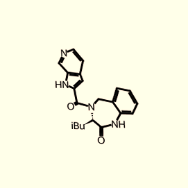 CC[C@H](C)[C@H]1C(=O)Nc2ccccc2CN1C(=O)c1cc2ccncc2[nH]1